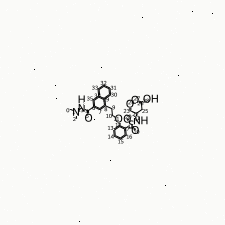 CN(C)NC(=O)c1cc(CCOc2ccccc2S(=O)(=O)NC(C=O)CC(=O)O)c2ccccc2c1